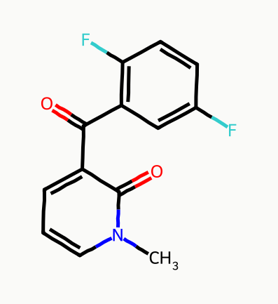 Cn1cccc(C(=O)c2cc(F)ccc2F)c1=O